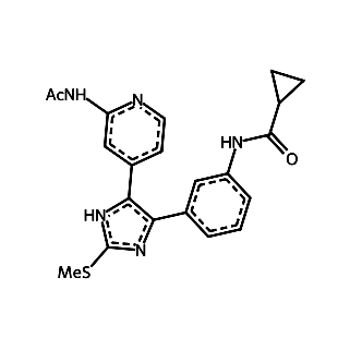 CSc1nc(-c2cccc(NC(=O)C3CC3)c2)c(-c2ccnc(NC(C)=O)c2)[nH]1